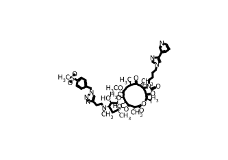 CO[C@]1(C)C[C@@H](C)C(=O)[C@H](C)[C@H]2N(CCCCn3cnc(-c4cccnc4)c3)C(=O)O[C@]2(C)[C@@H](I)OC(=O)[C@H](C)C(=O)[C@H](C)[C@H]1O[C@@H]1O[C@H](C)C[C@H](N(C)CCc2cn(Cc3ccc(S(C)(=O)=O)cc3)nn2)[C@H]1O